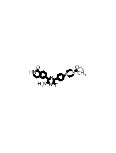 CC(C)N1CCN(c2ccc(-c3nc(-c4ccc5c(c4)CCNC5=O)c(N)nc3F)cc2)CC1